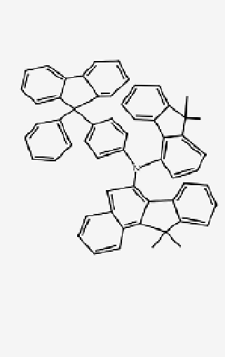 CC1(C)c2ccccc2-c2c(N(c3ccc(C4(c5ccccc5)c5ccccc5-c5ccccc54)cc3)c3cc4ccccc4c4c3-c3ccccc3C4(C)C)cccc21